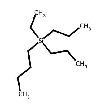 CCCC[Si](CC)(CCC)CCC